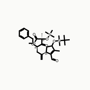 C=C(C[C@@H](OCc1ccccc1)C(=O)[C@](C)(O[Si](C)(C)C)C(=O)OC)[C@H]1CC(O[Si](C)(C)C(C)(C)C)C(C)=C1C=O